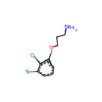 NCCCOc1cccc(Br)c1Cl